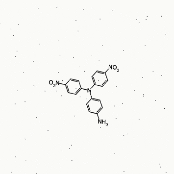 Nc1ccc(N(c2ccc([N+](=O)[O-])cc2)c2ccc([N+](=O)[O-])cc2)cc1